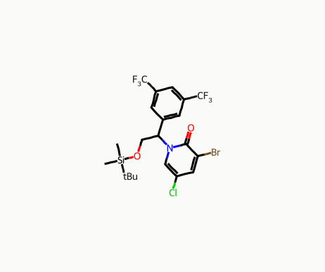 CC(C)(C)[Si](C)(C)OCC(c1cc(C(F)(F)F)cc(C(F)(F)F)c1)n1cc(Cl)cc(Br)c1=O